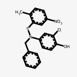 Cc1ccc([N+](=O)[O-])cc1SN(Cc1ccccc1)c1ccc(O)c(Cl)c1